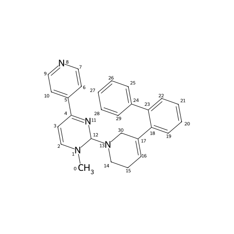 CN1C=CC(c2ccncc2)=NC1N1CCC=C(c2ccccc2-c2ccccc2)C1